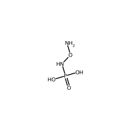 NONP(=O)(O)O